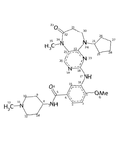 COc1ccc(C(=O)NC2CCN(C)CC2)cc1Nc1ncc2c(n1)N(C1CCCC1)CCC(=O)N2C